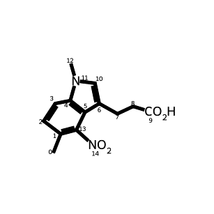 Cc1ccc2c(c(CCC(=O)O)cn2C)c1[N+](=O)[O-]